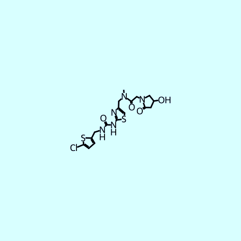 CN(Cc1csc(NC(=O)NCc2ccc(Cl)s2)n1)C(=O)CN1CC(O)CC1=O